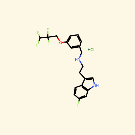 Cl.Fc1ccc2c(CCNCc3cccc(OCC(F)(F)C(F)F)c3)c[nH]c2c1